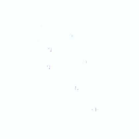 Cc1cccc(-c2nn(SF)c(Br)c2Br)n1